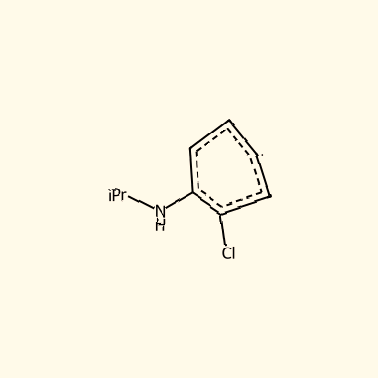 CC(C)Nc1cc[c]cc1Cl